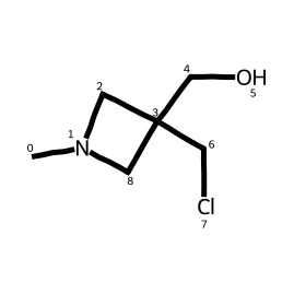 CN1CC(CO)(CCl)C1